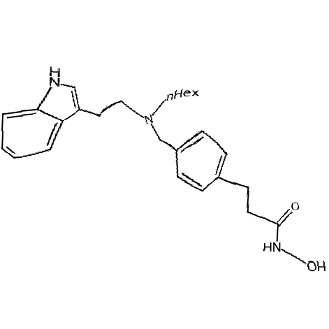 CCCCCCN(CCc1c[nH]c2ccccc12)Cc1ccc(CCC(=O)NO)cc1